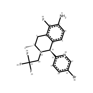 C[C@@H]1Cc2c(ccc(N)c2F)[C@@H](c2ccc(Br)cn2)N1CC(F)(F)F